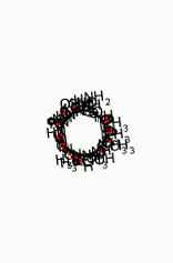 CCCC[C@H]1C(=O)N(C)CC(=O)NC(CC(=O)O)C(=O)N[C@@H](C(C)C)C(=O)N(C)[C@@H](Cc2ccccc2)C(=O)N2CCC[C@H]2C(=O)N2CCC[C@@H]2C(=O)N[C@@H](Cc2c[nH]c3ccccc23)C(=O)N[C@@H](Cc2ccc(O)cc2)C(=O)N[C@@H](CC(C)C)C(=O)N[C@H](C(=O)NCC(N)=O)CSCC(=O)N[C@@H](Cc2ccccc2)C(=O)N(C)[C@@H](Cc2ccccc2)C(=O)N1C